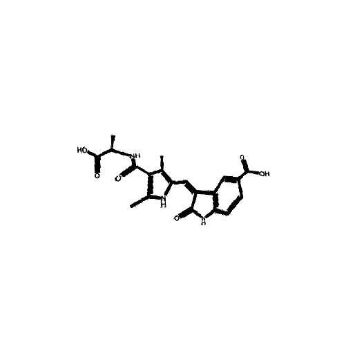 Cc1[nH]c(C=C2C(=O)Nc3ccc(C(=O)O)cc32)c(C)c1C(=O)N[C@H](C)C(=O)O